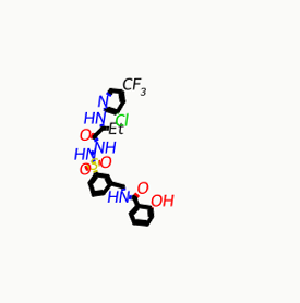 CCC(Nc1ncc(C(F)(F)F)cc1Cl)C(=O)NNS(=O)(=O)c1cccc(CNC(=O)c2ccccc2O)c1